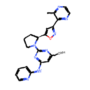 COc1cc(Nc2ccccn2)nc(N2CCC[C@H]2c2cc(-c3nccnc3C)no2)n1